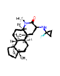 CN1C(=O)C(NC2(F)CC2)C[C@]2(C)[C@H]3CC[C@]4(C)CCC[C@H]4[C@@H]3CC[C@@H]12